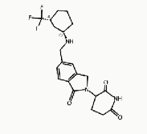 O=C1CCC(N2Cc3cc(CN[C@@H]4CCC[C@@H](C(F)(F)F)C4)ccc3C2=O)C(=O)N1